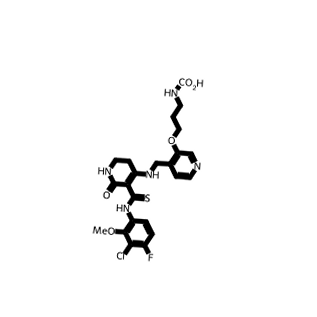 COc1c(NC(=S)C2=C(NCc3ccncc3OCCCNC(=O)O)CCNC2=O)ccc(F)c1Cl